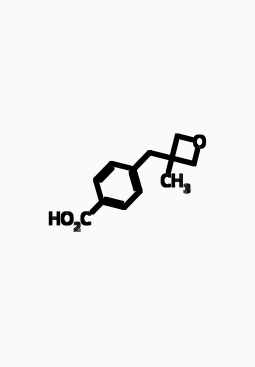 CC1(Cc2ccc(C(=O)O)cc2)COC1